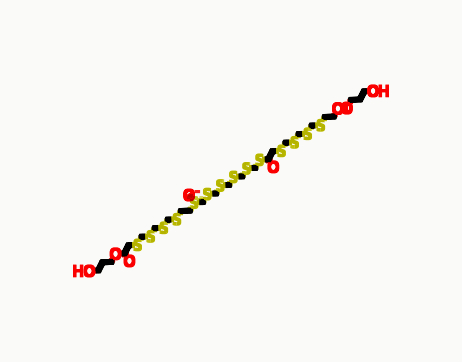 O=C(CSCSCSCSCC[S+]([O-])CSCSCSCSCSC(=O)CSCSCSCSCCOOCCCO)OCCCO